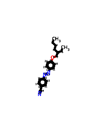 CCCCC(CC)COc1ccc(/N=N/c2ccc(C#N)cc2)cc1